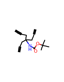 C#CCC(CC#C)(CC#C)NC(=O)OC(C)(C)C